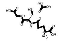 N[C@@H](CCC(=O)N[C@@H](CS)C(=O)NCC(=O)O)C(=O)O.O=C(O)O